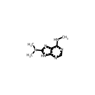 CNc1ncnc2[nH]c(N(C)C)nc12